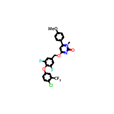 COc1ccc(-c2cc(OCc3cc(F)c(Oc4ccc(Cl)c(C(F)(F)F)c4)c(F)c3)nc(=O)n2C)cc1